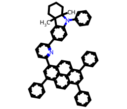 CC12CCCCC1(C)N(c1ccccc1)c1ccc(-c3cccc(-c4cc(-c5ccccc5)c5ccc6c(-c7ccccc7)cc(-c7ccccc7)c7ccc4c5c67)n3)cc12